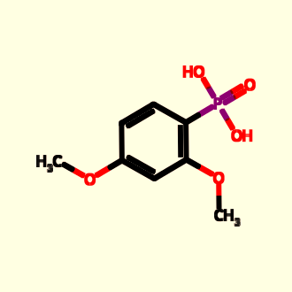 COc1ccc(P(=O)(O)O)c(OC)c1